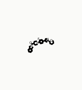 O=C(C1CCN(c2ccc(-c3cnn(C4CCCCO4)c3)cc2F)CC1)N1Cc2ccccc2C1